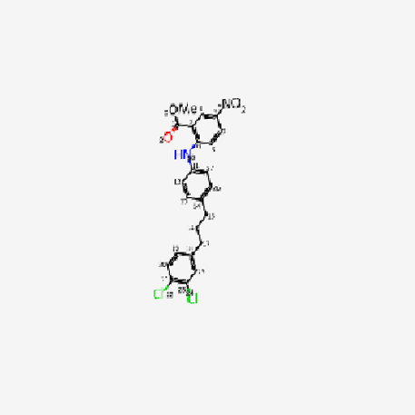 COC(=O)c1cc([N+](=O)[O-])ccc1Nc1ccc(CCCc2ccc(Cl)c(Cl)c2)cc1